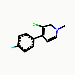 CN1C=CC(c2ccc(F)cc2)=C(Cl)C1